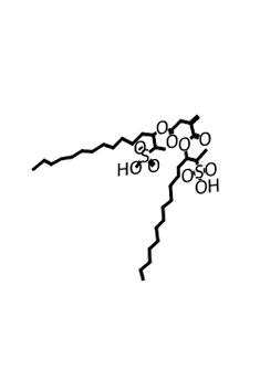 C=C(CC(=O)OC(CCCCCCCCCCCC)C(C)S(=O)(=O)O)C(=O)OC(CCCCCCCCCCCC)C(C)S(=O)(=O)O